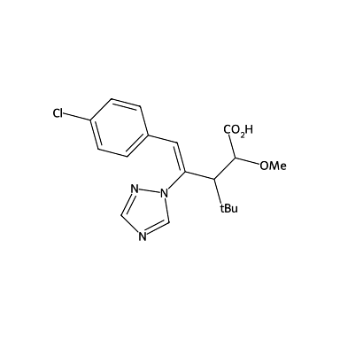 COC(C(=O)O)C(C(=Cc1ccc(Cl)cc1)n1cncn1)C(C)(C)C